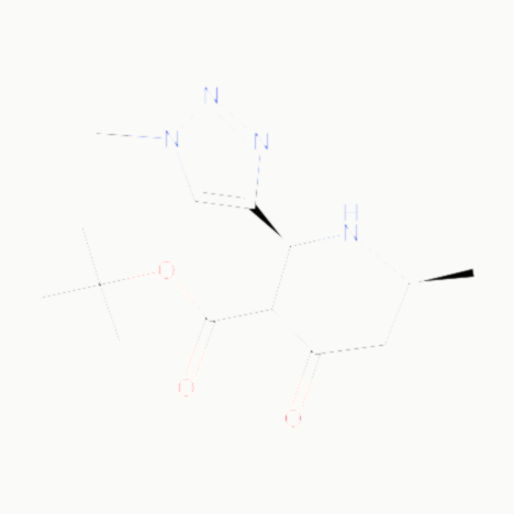 C[C@H]1CC(=O)C(C(=O)OC(C)(C)C)[C@@H](c2cn(C)nn2)N1